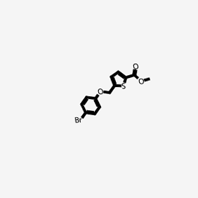 COC(=O)c1ccc(COc2ccc(Br)cc2)s1